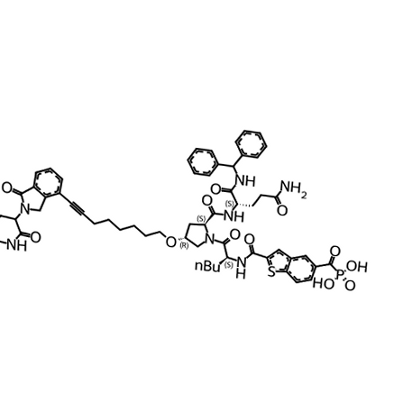 CCCC[C@H](NC(=O)c1cc2cc(C(=O)P(=O)(O)O)ccc2s1)C(=O)N1C[C@H](OCCCCCCC#Cc2cccc3c2CN(C2CCC(=O)NC2=O)C3=O)C[C@H]1C(=O)N[C@@H](CCC(N)=O)C(=O)NC(c1ccccc1)c1ccccc1